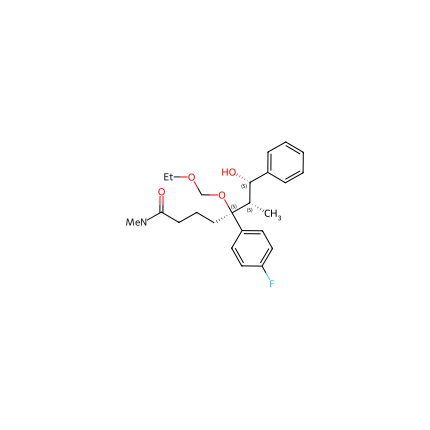 CCOCO[C@](CCCC(=O)NC)(c1ccc(F)cc1)[C@@H](C)[C@H](O)c1ccccc1